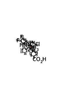 CC(C)(Oc1ccc(C(=O)O)cc1)C(C1CCCCC1)C1(c2ccc(Cl)cc2)Nc2cc(F)c(F)cc2N1